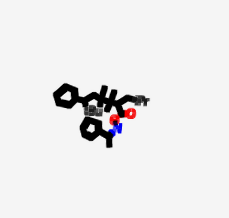 CC(=NOC(=O)C(CC(C)C)C(C)(C)C(C)(C)CC(c1ccccc1)C(C)(C)C)c1ccccc1